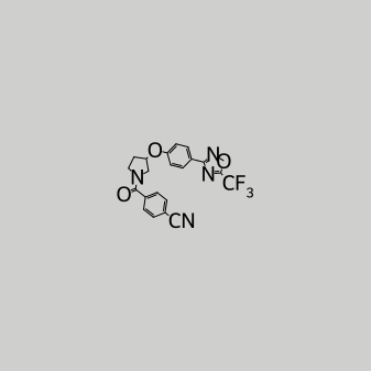 N#Cc1ccc(C(=O)N2CCC(Oc3ccc(-c4noc(C(F)(F)F)n4)cc3)C2)cc1